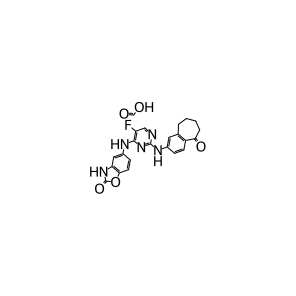 O=C1CCCCc2cc(Nc3ncc(F)c(Nc4ccc5oc(=O)[nH]c5c4)n3)ccc21.O=CO